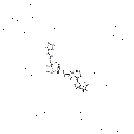 O=C(NCCc1cc2c(-c3cnn4ncccc34)ccnc2[nH]1)C1CCCN1C(=O)/C=C/CN1CCCC1